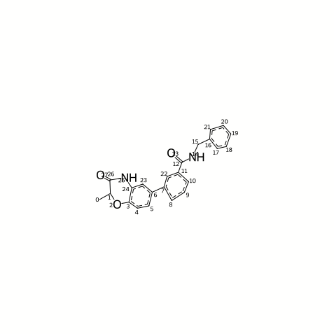 CC1Oc2ccc(-c3cccc(C(=O)NCc4ccccc4)c3)cc2NC1=O